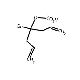 C=CCC(CC)(CC=C)OC(=O)O